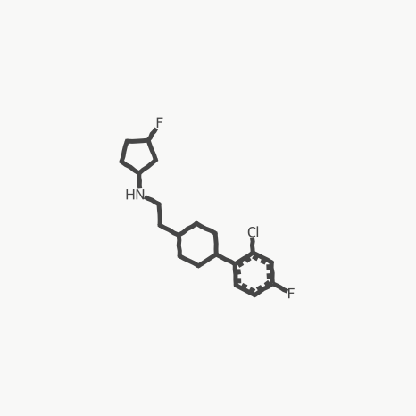 Fc1ccc(C2CCC(CCNC3CCC(F)C3)CC2)c(Cl)c1